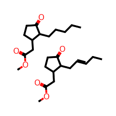 CCC=CCC1C(=O)CCC1CC(=O)OC.CCCCCC1C(=O)CCC1CC(=O)OC